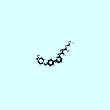 CCOC(=O)NC(=S)Nc1cccc(-c2ccc(CN3CCS(=O)(=O)CC3)cc2)n1